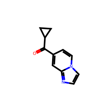 O=C(c1ccn2ccnc2c1)C1CC1